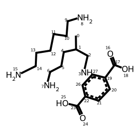 CC(CN)CCCN.NCCCCCCN.O=C(O)c1ccc(C(=O)O)cc1